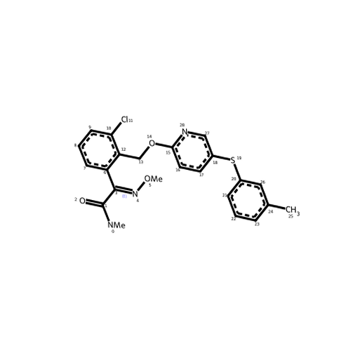 CNC(=O)/C(=N/OC)c1cccc(Cl)c1COc1ccc(Sc2cccc(C)c2)cn1